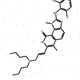 CCCCN(CC=Cc1[nH]c(=O)c2c(ccc3nc(Nc4c(Cl)cccc4Cl)n(C)c32)c1C)CCCC